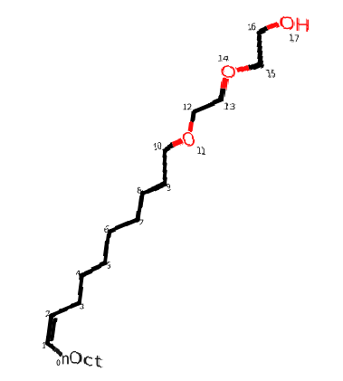 CCCCCCCC/C=C\CCCCCCCCOCCOCCO